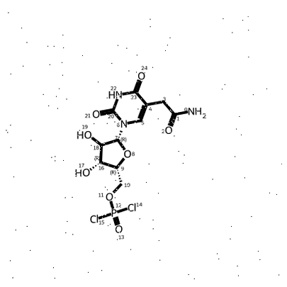 NC(=O)Cc1cn([C@@H]2O[C@H](COP(=O)(Cl)Cl)[C@H](O)C2O)c(=O)[nH]c1=O